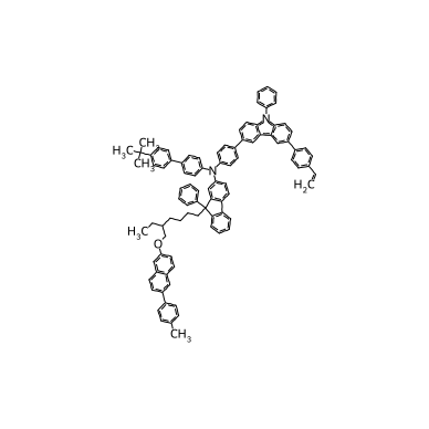 C=Cc1ccc(-c2ccc3c(c2)c2cc(-c4ccc(N(c5ccc(-c6ccc(C(C)(C)C)cc6)cc5)c5ccc6c(c5)C(CCCCC(CC)COc5ccc7cc(-c8ccc(C)cc8)ccc7c5)(c5ccccc5)c5ccccc5-6)cc4)ccc2n3-c2ccccc2)cc1